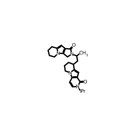 CC(CC1CCCn2c1cc1c(=O)n(C(C)C)ccc12)N1Cc2c(cc3n2CCCC3)C1=O